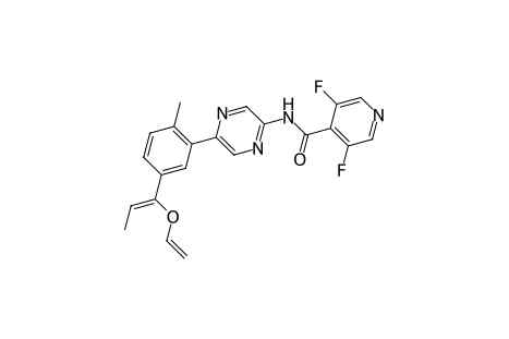 C=CO/C(=C\C)c1ccc(C)c(-c2cnc(NC(=O)c3c(F)cncc3F)cn2)c1